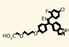 CCC(=C(c1ccc(OCCCOCC(=O)O)cc1)c1ccc2[nH]ncc2c1)c1ccc(Cl)cc1F